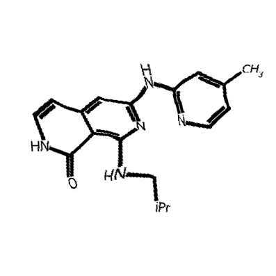 Cc1ccnc(Nc2cc3cc[nH]c(=O)c3c(NCC(C)C)n2)c1